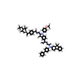 C=C/C(=C\C=C(/C)N(C1=CC=C2c3ccccc3C(C)(C)C2C1)c1ccc(-c2ccccc2)cc1)c1ccc2c(c1)C(C)/C(=C\C=C(/C)c1ccc(C(=C)CCC(=C)C(CC(C)(C)C)C(C)(C)C)cc1)N2c1ccc(OC(C)C)cc1